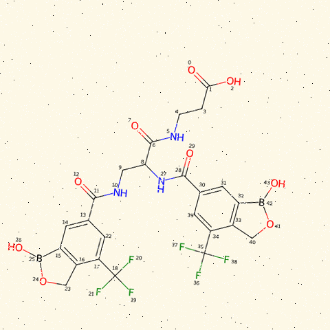 O=C(O)CCNC(=O)C(CNC(=O)c1cc2c(c(C(F)(F)F)c1)COB2O)NC(=O)c1cc2c(c(C(F)(F)F)c1)COB2O